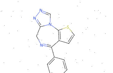 c1ccc(C2=NCc3nncn3-c3sccc32)cc1